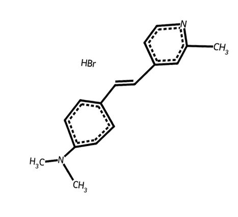 Br.Cc1cc(C=Cc2ccc(N(C)C)cc2)ccn1